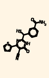 N#Cc1c(-c2cccs2)nc(C(S)c2cccc(C(N)=O)c2)[nH]c1=O